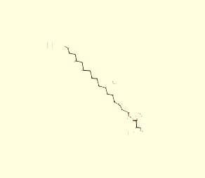 CCCCCCCCCCCCCCCCCCOC(=O)C(C)O.[Ca]